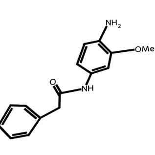 COc1cc(NC(=O)Cc2ccccc2)ccc1N